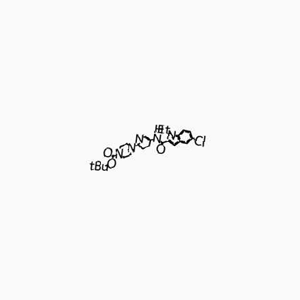 CCn1c(C(=O)NC2=CN=C(N3CCN(C(=O)OC(C)(C)C)CC3)CC2)cc2cc(Cl)ccc21